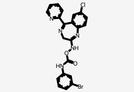 O=C(Nc1cccc(Br)c1)ONC1=Nc2ccc(Cl)cc2C(c2ccccn2)=NC1